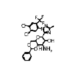 Cc1nc([C@@H]2OC3COC(c4ccccc4)O[C@@H]3C(N)C2O)n(-c2cc(Cl)c(Cl)cc2C(F)(F)F)n1